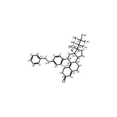 C[C@]12C[C@H](c3ccc(SCc4ccccc4)cc3)C3=C4CCC(=O)C=C4CCC3C1CC[C@@]2(O)C(F)(F)C(F)(F)F